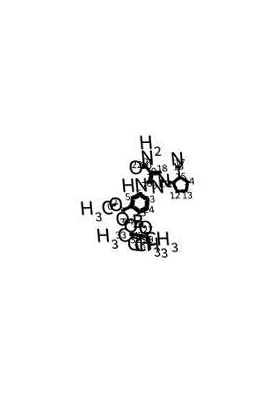 COC(=O)c1cc(Nc2nn(C3CCC[C@@H]3C#N)cc2C(N)=O)ccc1B1OC(C)(C)C(C)(C)O1